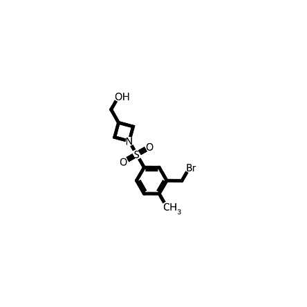 Cc1ccc(S(=O)(=O)N2CC(CO)C2)cc1CBr